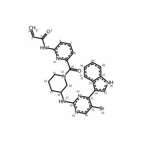 C=CC(=O)Nc1cccc(C(=O)N2CCCC(Nc3ncc(Br)c(-c4c[nH]c5ccccc45)n3)C2)n1